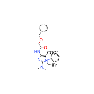 CC(C)C[N+]1(c2ccccc2)C(N(C)C)=NC(NC(=O)COCc2ccccc2)=C1C(=O)[O-]